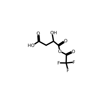 O=C(O)CC(O)C(=O)OC(=O)C(F)(F)F